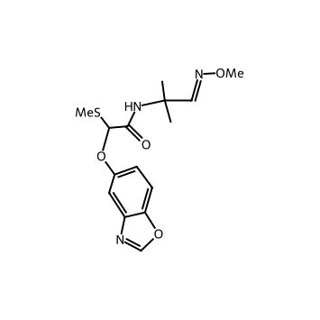 CO/N=C/C(C)(C)NC(=O)C(Oc1ccc2ocnc2c1)SC